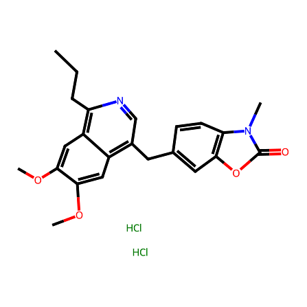 CCCc1ncc(Cc2ccc3c(c2)oc(=O)n3C)c2cc(OC)c(OC)cc12.Cl.Cl